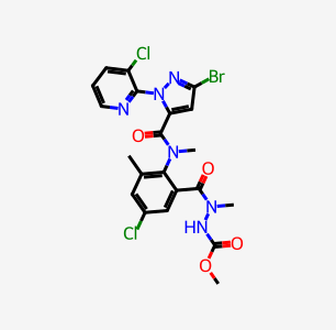 COC(=O)NN(C)C(=O)c1cc(Cl)cc(C)c1N(C)C(=O)c1cc(Br)nn1-c1ncccc1Cl